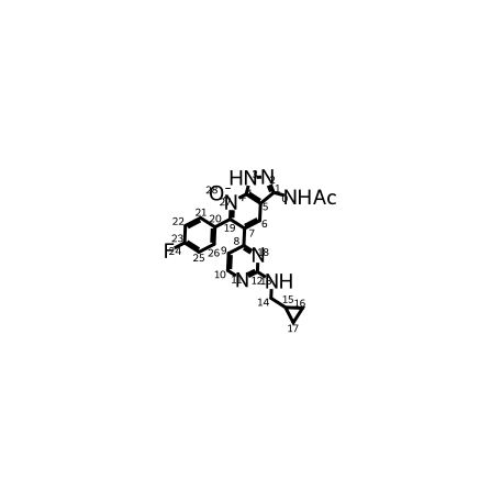 CC(=O)Nc1n[nH]c2c1cc(-c1ccnc(NCC3CC3)n1)c(-c1ccc(F)cc1)[n+]2[O-]